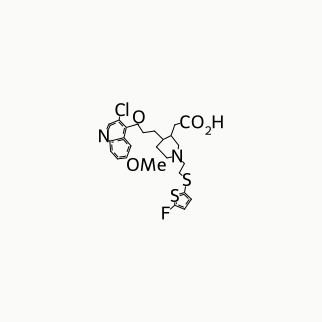 COc1ccc2ncc(Cl)c(C(=O)CCC3CCN(CCSc4ccc(F)s4)CC3CC(=O)O)c2c1